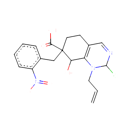 C=CCN1C2=C(C=NC1Cl)CCC(Cc1ccccc1[N+](=O)[O-])(C(=O)O)C2O